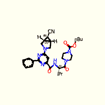 CCCCOC(=O)N1CCN(C(=O)[C@@H](NC(=O)c2cc(N3C[C@@H]4[C@@H](C#N)[C@@H]4C3)nc(-c3ccccc3)n2)C(C)C)CC1